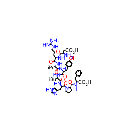 CCC(C)C(NC(=O)C(Cc1ccc(O)cc1)NC(=O)C(NC(=O)C(CCCNC(=N)N)NC(=O)C(N)CC(=O)O)C(C)C)C(=O)NC(Cc1c[nH]cn1)C(=O)N1CCC[C@H]1C(=O)NC(Cc1ccccc1)C(=O)O